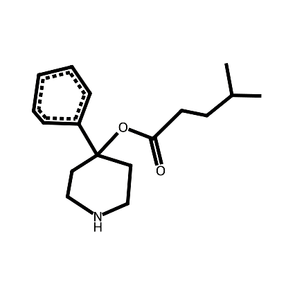 CC(C)CCC(=O)OC1(c2ccccc2)CCNCC1